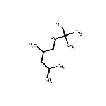 CC(C)CC(C)CNC(C)(C)C